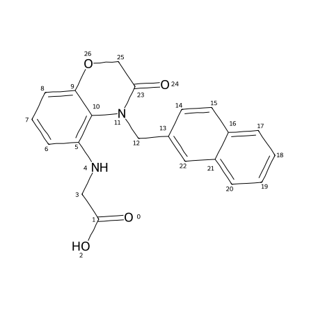 O=C(O)CNc1cccc2c1N(Cc1ccc3ccccc3c1)C(=O)CO2